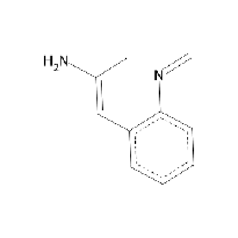 C=Nc1ccccc1/C=C(\C)N